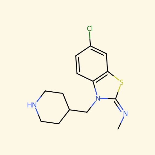 C/N=c1/sc2cc(Cl)ccc2n1CC1CCNCC1